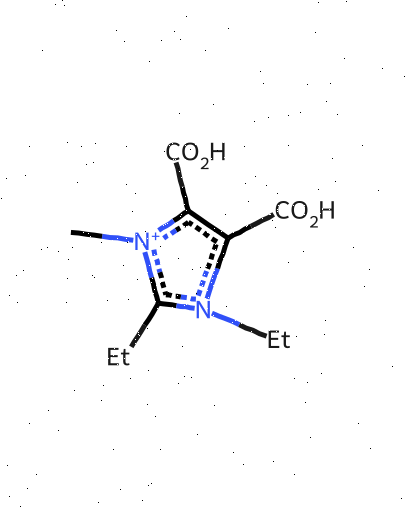 CCc1n(CC)c(C(=O)O)c(C(=O)O)[n+]1C